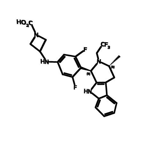 C[C@@H]1Cc2c([nH]c3ccccc23)[C@@H](c2c(F)cc(NC3CN(C(=O)O)C3)cc2F)N1CC(F)(F)F